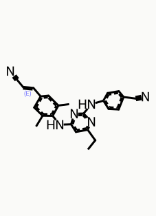 CCc1cc(Nc2c(C)cc(/C=C/C#N)cc2C)nc(Nc2ccc(C#N)cc2)n1